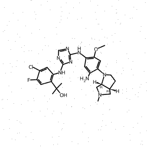 COc1cc(N2CC[C@@H]3CN(C)C[C@@H]32)c(N)cc1Nc1ncnc(Nc2cc(Cl)c(F)cc2C(C)(C)O)n1